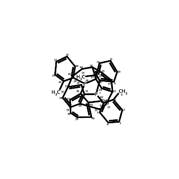 Cc1ccccc1P(c1ccccc1C)c1cc2ccc1CCc1ccc(c(P(c3ccccc3C)c3ccccc3C)c1)CC2